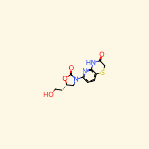 O=C1CSc2ccc(N3C[C@H](CCO)OC3=O)nc2N1